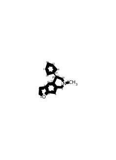 CN1Cc2cc3occc3cc2[C@@H](c2ccccc2)C1